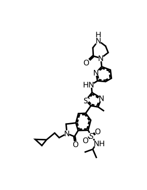 Cc1nc(Nc2cccc(N3CCNCC3=O)n2)sc1-c1cc2c(c(S(=O)(=O)NC(C)C)c1)C(=O)N(CCC1CC1)C2